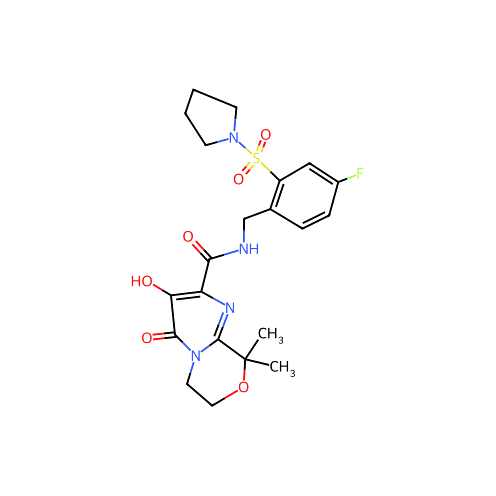 CC1(C)OCCn2c1nc(C(=O)NCc1ccc(F)cc1S(=O)(=O)N1CCCC1)c(O)c2=O